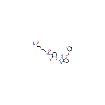 CN(C)C(=O)/C=C/CCCC(=O)Nc1cccn(Cc2nc3cccc(OCc4ccccc4)c3[nH]2)c1=O